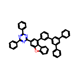 c1ccc(-c2cc(-c3ccccc3)cc(-c3cccc(-c4cc(-c5nc(-c6ccccc6)nc(-c6ccccc6)n5)cc5oc6ccccc6c45)c3)c2)cc1